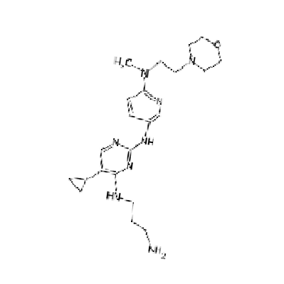 CN(CCN1CCOCC1)c1ccc(Nc2ncc(C3CC3)c(NCCCN)n2)cn1